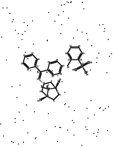 C[N+]1(C)[C@@H]2CC[C@H]1C[C@@H](C=C(c1ccccc1)c1ccccc1)C2.Cc1ccccc1S(=O)(=O)[O-]